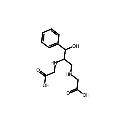 O=C(O)CNCC(NCC(=O)O)C(O)c1ccccc1